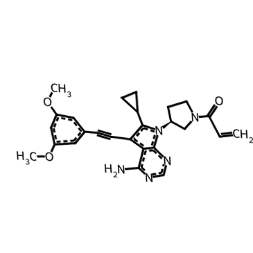 C=CC(=O)N1CC[C@H](n2c(C3CC3)c(C#Cc3cc(OC)cc(OC)c3)c3c(N)ncnc32)C1